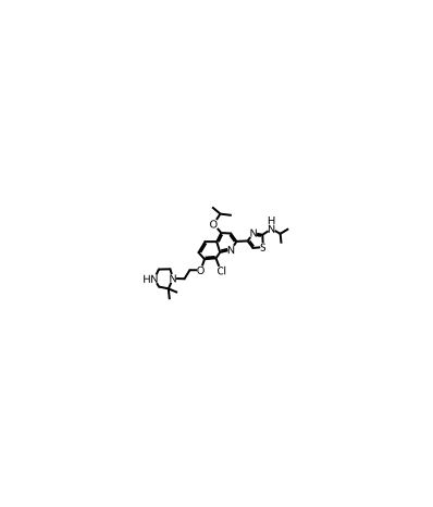 CC(C)Nc1nc(-c2cc(OC(C)C)c3ccc(OCCN4CCNCC4(C)C)c(Cl)c3n2)cs1